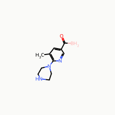 BC(=O)c1cnc(N2CCNCC2)c(C)c1